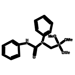 CO[Si](CN(C(=O)Nc1ccccc1)c1ccccc1)(OC)OC